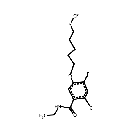 O=C(NCC(F)(F)F)c1cc(OCCCCCSC(F)(F)F)c(F)cc1Cl